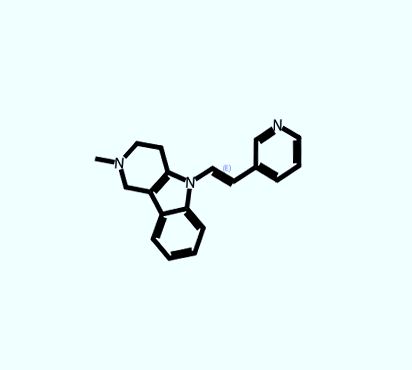 CN1CCc2c(c3ccccc3n2/C=C/c2cccnc2)C1